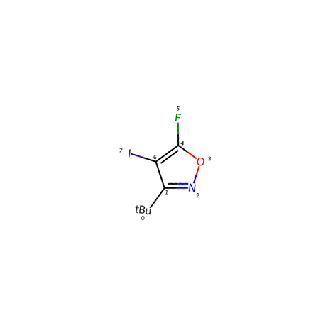 CC(C)(C)c1noc(F)c1I